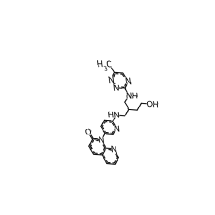 Cc1cnc(NCC(CCO)CNc2ccc(-n3c(=O)ccc4cccnc43)cn2)nn1